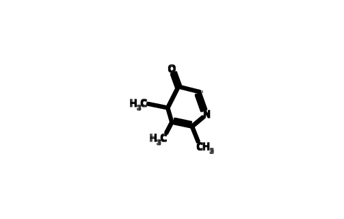 CC1=C(C)C(C)C(=O)[C]=N1